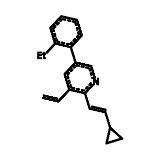 C=Cc1cc(-c2ccccc2CC)cnc1/C=C/C1CC1